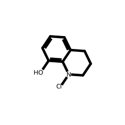 Oc1cccc2c1N(Cl)CCC2